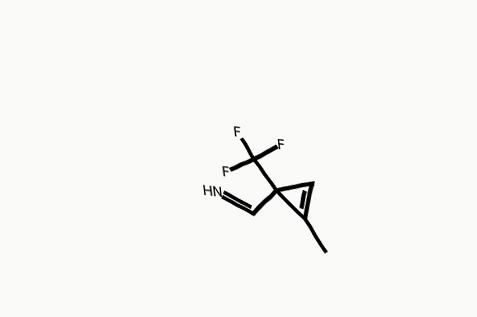 CC1=CC1(C=N)C(F)(F)F